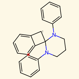 [C]1c2ccccc2C12N(c1ccccc1)CCCN2c1ccccc1